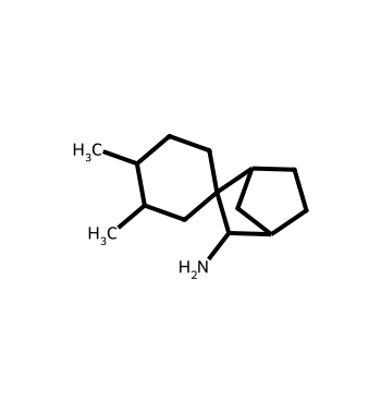 CC1CCC2(CC1C)C1CCC(C1)C2N